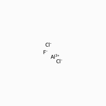 [Al+3].[Cl-].[Cl-].[F-]